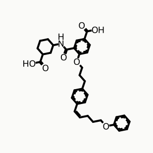 O=C(O)c1ccc(OCCCc2ccc(/C=C\CCCOc3ccccc3)cc2)c(C(=O)NC2CCCC(C(=O)O)C2)c1